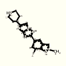 Cn1cc2cc(-c3nc4sc(C5CCNCC5)cn4n3)cc(F)c2n1